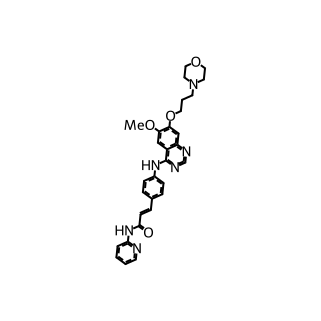 COc1cc2c(Nc3ccc(/C=C/C(=O)Nc4ccccn4)cc3)ncnc2cc1OCCCN1CCOCC1